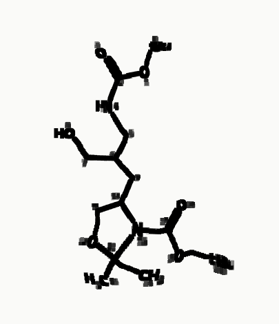 CC(C)(C)OC(=O)NCC(CO)CC1COC(C)(C)N1C(=O)OC(C)(C)C